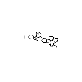 CCn1cnc2c(-c3ccc(F)c(-c4ccc5c(c4OC)N(C)CCO5)c3)cnnc21